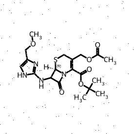 COCc1c[nH]c(NC2C(=O)N3C(C(=O)OC(C)(C)C)=C(COC(C)=O)CS[C@H]23)n1